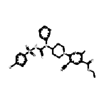 CCOC(=O)c1cc(C#N)c(N2CCC(N(C(=O)NS(=O)(=O)c3ccc(Cl)cc3)c3ccccc3)CC2)nc1C